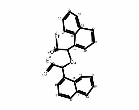 CCC(=O)C(OC(C(=O)CC)c1cccc2ccccc12)c1cccc2ccccc12